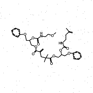 C=C(C)CCNC(=O)OC(COC(=O)C(C)(C)CC(=C)C(=O)OCC(COc1ccccc1)OC(=O)NCCOC)COc1ccccc1